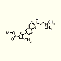 COC(=O)c1cc(C)c(-c2ccc3nc(NCCN(C)C)ncc3c2)s1